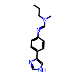 CCCN(C)C=Nc1ccc(-c2c[nH]cn2)cc1